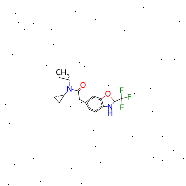 CCCN(C(=O)Cc1ccc2c(c1)OC(C(F)(F)F)N2)C1CC1